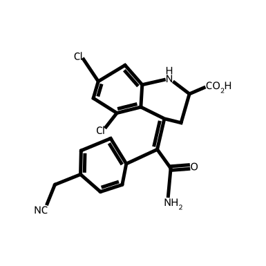 N#CCc1ccc(/C(C(N)=O)=C2/CC(C(=O)O)Nc3cc(Cl)cc(Cl)c32)cc1